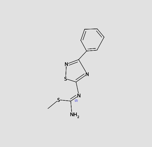 CS/C(N)=N\c1nc(-c2ccccc2)ns1